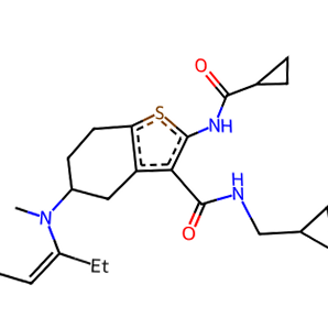 C/C=C(/CC)N(C)C1CCc2sc(NC(=O)C3CC3)c(C(=O)NCC3CC3)c2C1